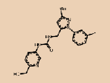 CC(C)(C)c1cc(CNC(=O)Nc2ccc(CO)nc2)n(-c2cccc(F)c2)n1